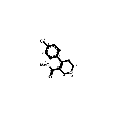 COC(=O)C1=C(c2ccc(Cl)cc2)CCOC1